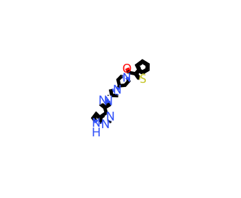 O=C(c1csc2ccccc12)N1CCC(N2C[C](n3cc(-c4ncnc5[nH]ccc45)cn3)C2)CC1